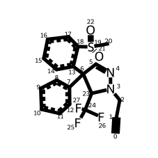 C#CCN1N=CC(c2ccccc2)(c2ccccc2S(C)(=O)=O)C1C(F)(F)F